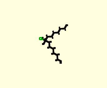 CCCCCCCC(C)(Cl)CCCCCCC